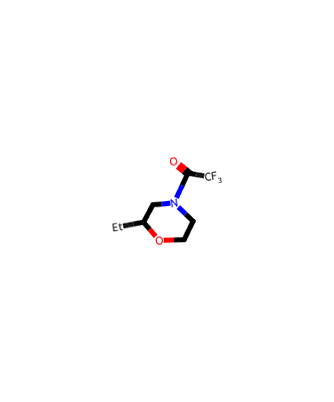 CCC1CN(C(=O)C(F)(F)F)CCO1